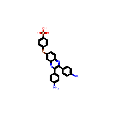 Nc1ccc(-c2nc3ccc(Sc4ccc(S(=O)(=O)O)cc4)cc3nc2-c2ccc(N)cc2)cc1